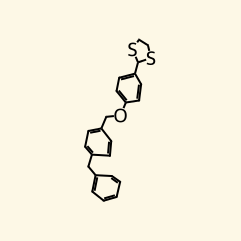 c1ccc(Cc2ccc(COc3ccc(C4SCCS4)cc3)cc2)cc1